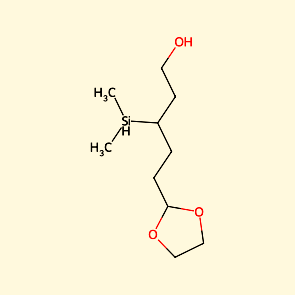 C[SiH](C)C(CCO)CCC1OCCO1